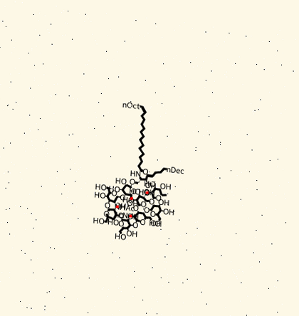 CCCCCCCC/C=C\CCCCCCCCCCCCCC(=O)N[C@@H](CO[C@@H]1OC(CO)[C@@H](O[C@@H]2OC(CO)[C@H](O)[C@H](O[C@@H]3OC(CO)[C@@H](O)[C@H](O[C@@H]4OC(CO)[C@H](O)[C@H](O[C@@H]5OC(CO)[C@@H](O[C@@H]6OC(CO)[C@H](O)[C@H](O)C6O[C@H]6OC(C)[C@@H](O)C(O)[C@@H]6O)[C@H](O[C@H]6OC(C)[C@@H](O)C(O)[C@@H]6O)C5NC(C)=O)C4O)C3NC(C)=O)C2O)[C@H](O)C1O)[C@H](O)/C=C/CCCCCCCCCCCCC